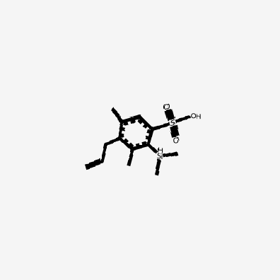 C=CCc1c(C)cc(S(=O)(=O)O)c([SiH](C)C)c1C